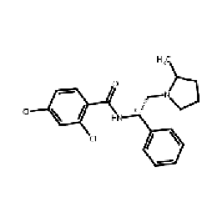 CC1CCCN1C[C@@H](NC(=O)c1ccc(Cl)cc1Cl)c1ccccc1